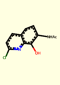 CC(=O)Nc1ccc2ccc(Cl)nc2c1O